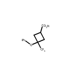 CC(C)OC1(C(F)(F)F)CC(C(=O)O)C1